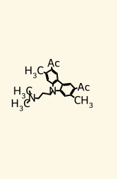 CC(=O)c1cc2c3cc(C(C)=O)c(C)cc3n(CCCN(C)C)c2cc1C